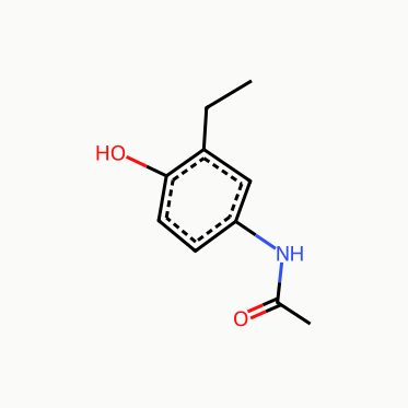 CCc1cc(NC(C)=O)ccc1O